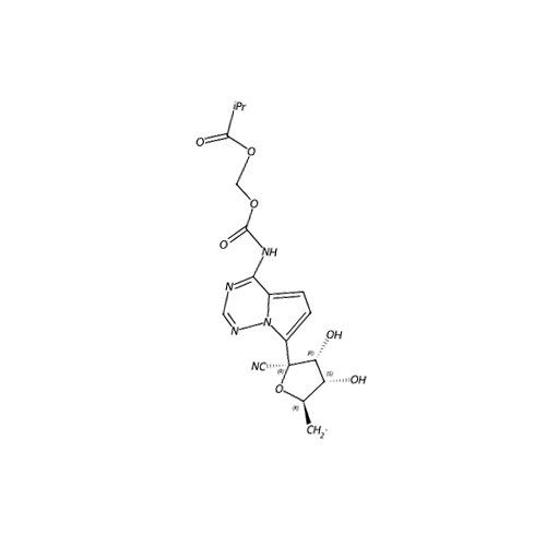 [CH2][C@H]1O[C@@](C#N)(c2ccc3c(NC(=O)OCOC(=O)C(C)C)ncnn23)[C@H](O)[C@@H]1O